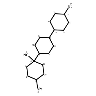 CCCC1CCC(C#N)(C2CCC(C3CCC(CC)CC3)CC2)CC1